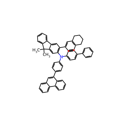 CC1(C)c2ccccc2-c2cc(-c3ccc4c(c3)CCCC4)c(N(c3ccc(-c4ccccc4)cc3)c3ccc(-c4cc5ccccc5c5ccccc45)cc3)cc21